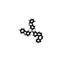 c1ccc2c(c1)ccc1ccc3cc(N(c4ccc5c(c4)sc4ccccc45)c4ccc5sc6ccccc6c5c4)ccc3c12